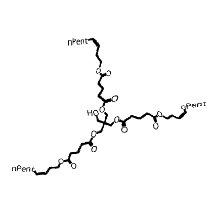 CCCCC/C=C\CCOC(=O)CCCC(=O)OCC(CO)(COC(=O)CCCC(=O)OCC/C=C\CCCCC)COC(=O)CCCC(=O)OCC/C=C\CCCCC